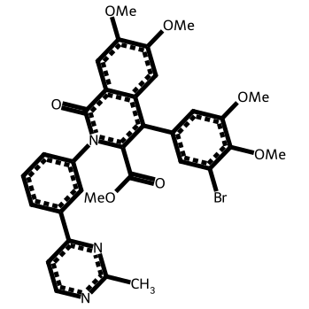 COC(=O)c1c(-c2cc(Br)c(OC)c(OC)c2)c2cc(OC)c(OC)cc2c(=O)n1-c1cccc(-c2ccnc(C)n2)c1